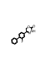 O=C1NN=C(c2ccc(-c3ccccc3)c(F)c2)CO1